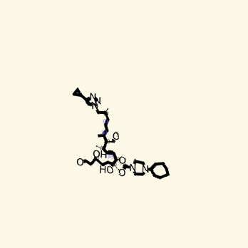 C/C(=C\C=C\[C@@H](C)Cn1cc(C2CC2)nn1)[C@@H](C=O)[C@@H](C)/C=C/[C@H](OC(=O)N1CCN(C2CCCCCC2)CC1)[C@@](C)(O)CC[C@H](O)CC=O